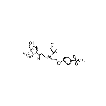 CC(C)(CO)C(O)C(=O)NCCN(CCOc1ccc(S(C)(=O)=O)cc1)C(=O)CCl